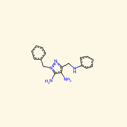 Nc1c(CNc2ccccc2)nn(Cc2ccccc2)c1N